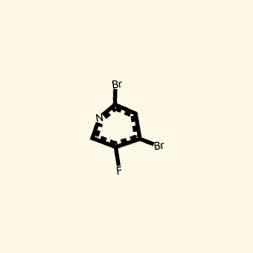 Fc1cnc(Br)cc1Br